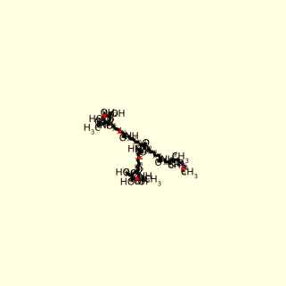 CC/C=C\OCC(C)(C)CC(C)CNC(=O)CCCCCNC(=O)[C@H](CCCCNC(=O)CCCCCOC1OC(CO)C(O)C(O)C1NC(C)=O)NC(=O)CCCCCOC1OC(CO)C(O)C(O)C1NC(C)=O